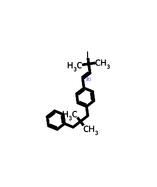 CC(C)(I)/C=C/c1ccc(CC(C)(C)Cc2ccccc2)cc1